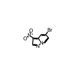 O=[N+]([O-])c1cnn2ccc(Br)cc12